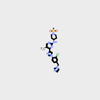 CS(=O)(=O)N1CCC(Nc2ncc(C(F)(F)F)c(-c3cn(-c4ccc(Cn5ccnc5)cc4Cl)cn3)n2)CC1